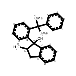 COC(OC)(c1ccccc1)c1ccccc1C1(O)c2ccccc2CC1C